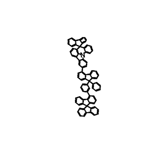 c1ccc(C2(c3cccc(-c4cccc5c4-c4ccccc4C54c5ccccc5-c5ccccc54)c3)c3ccccc3-c3c(-c4ccc5c(c4)c4cccc6c4n5-c4ccccc4C64c5ccccc5-c5ccccc54)cccc32)cc1